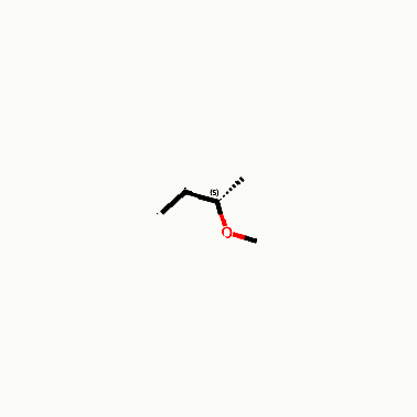 [CH2][CH][C@H](C)OC